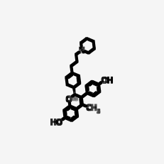 CC1=C(c2ccc(O)cc2)[C@H](C2C=CC(CCCN3CCCCC3)=CC2)Oc2cc(O)ccc21